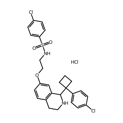 Cl.O=S(=O)(NCCOc1ccc2c(c1)C(C1(c3ccc(Cl)cc3)CCC1)NCC2)c1ccc(Cl)cc1